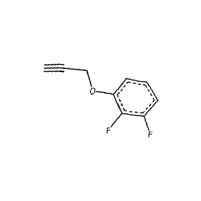 C#CCOc1cccc(F)c1F